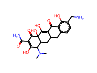 CN(C)C1C(O)=C(C(N)=O)C(=O)C2(O)C(O)=C3C(=O)c4c(ccc(CN)c4O)CC3CC12